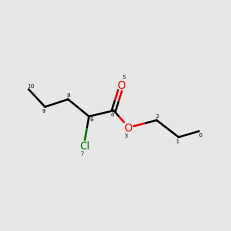 CCCOC(=O)C(Cl)CCC